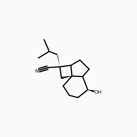 CC(C)C[C@@]1(C#N)C[C@]23CCC[C@H](O)C2CCC13